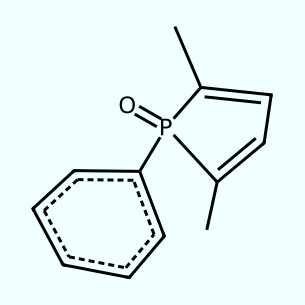 CC1=CC=C(C)P1(=O)c1ccccc1